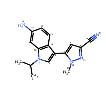 CC(C)n1cc(-c2cc(C#N)nn2C)c2ccc(N)cc21